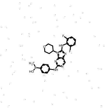 CB(O)c1ccc(Nc2ncc3nc(Nc4c(F)cccc4F)n(C4CCOCC4)c3n2)cc1